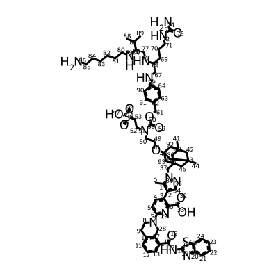 Cc1c(-c2ccc(N3CCc4cccc(C(=O)Nc5nc6ccccc6s5)c4C3)nc2C(=O)O)cnn1CC12CC3(C)CC(C)(C1)CC(OCCN(CCS(=O)(=O)O)C(=O)OCc1ccc(NC[C@H](CCCNC(N)=O)NC[C@@H](NCCCCCCN)C(C)C)cc1)(C3)C2